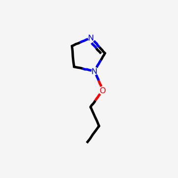 CCCON1C=NCC1